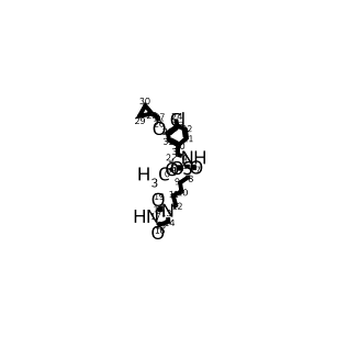 COC[C@@H](NS(=O)(=O)CCCCCN1CC(=O)NC1=O)c1ccc(Cl)c(OCC2CC2)c1